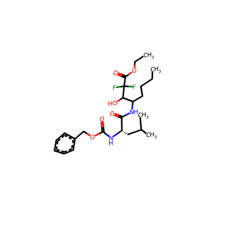 CCCCC(NC(=O)[C@H](CC(C)C)NC(=O)OCc1ccccc1)C(O)C(F)(F)C(=O)OCC